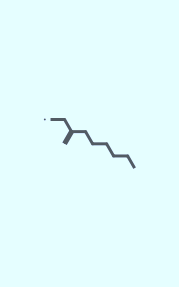 [CH2]CC(=C)CCCCCC